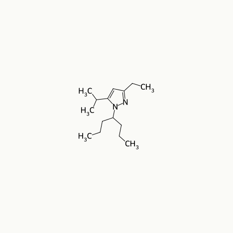 CCCC(CCC)n1nc(CC)cc1C(C)C